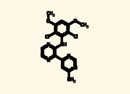 COc1cc(OC)c(Cl)c(Nc2nccnc2-c2cc(N)ncn2)c1Cl